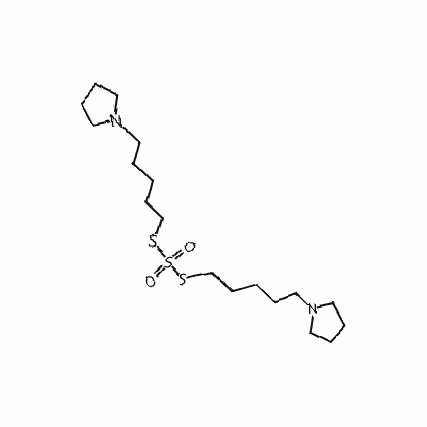 O=S(=O)(SCCCCCN1CCCC1)SCCCCCN1CCCC1